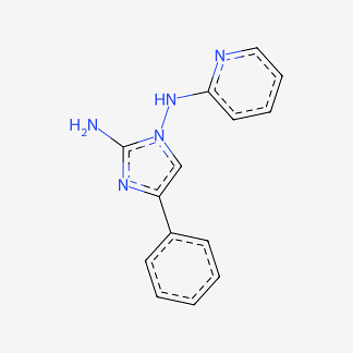 Nc1nc(-c2ccccc2)cn1Nc1ccccn1